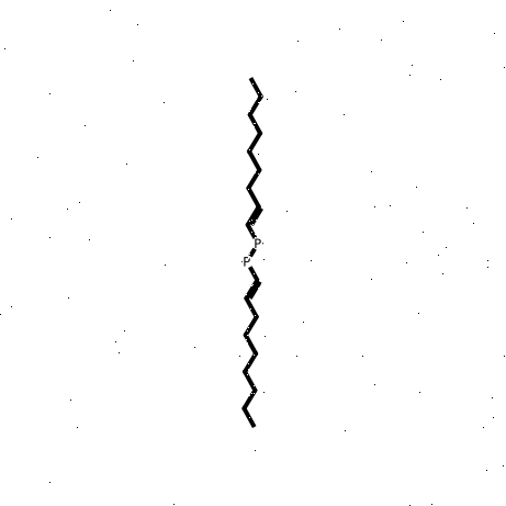 CCCCCCCC=C[P][P]C=CCCCCCCC